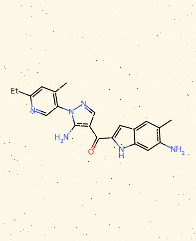 CCc1cc(C)c(-n2ncc(C(=O)c3cc4cc(C)c(N)cc4[nH]3)c2N)cn1